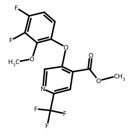 COC(=O)c1cc(C(F)(F)F)ncc1Oc1ccc(F)c(F)c1OC